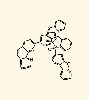 O=P(c1ccccc1)(c1ccc2c(c1)oc1ccccc12)c1ccccc1C1c2ccccc2Sc2cc(-c3ccc4ccc5cccnc5c4n3)ccc21